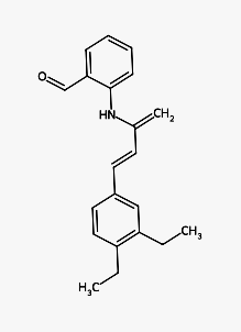 C=C(/C=C/c1ccc(CC)c(CC)c1)Nc1ccccc1C=O